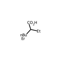 CCCCC(CC)C(=O)O.[Er]